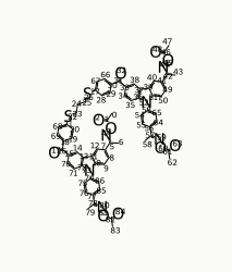 CC(=O)ON=C(C)c1ccc2c(c1)c1cc(C(=O)c3ccc(SCCCSc4ccc(C(=O)c5ccc6c(c5)c5cc(C(C)=NOC(C)=O)ccc5n6-c5ccc(/C(C)=N/OC(C)=O)cc5)cc4)cc3)ccc1n2-c1ccc(/C(C)=N/OC(C)=O)cc1